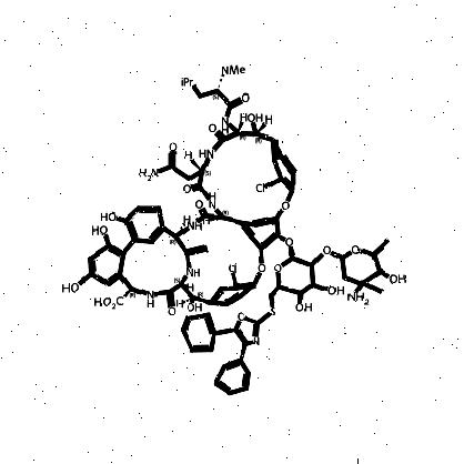 C=C1N[C@@H]2C(=O)N[C@@H](C(=O)O)c3cc(O)cc(O)c3-c3cc(ccc3O)[C@H]1NC(=O)[C@@H]1NC(=O)[C@H](CC(N)=O)NC(=O)[C@H](NC(=O)[C@H](CC(C)C)NC)[C@H](O)c3ccc(c(Cl)c3)Oc3cc1cc(c3OC1OC(CSc3nc(-c4ccccc4)c(-c4ccccc4)o3)C(O)C(O)C1OC1CC(C)(N)C(O)C(C)O1)Oc1ccc(cc1Cl)[C@H]2O